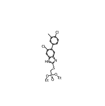 CCOP(=O)(CSc1nc2cc(-c3ccc(Cl)c(C)c3)c(Cl)cc2[nH]1)OCC